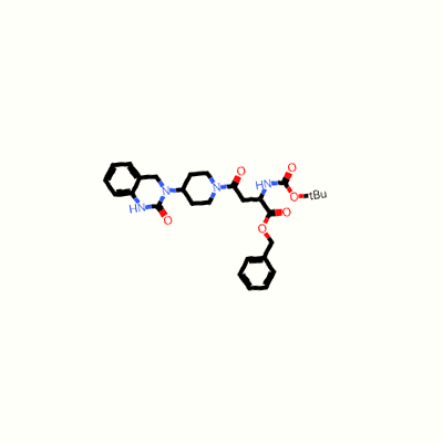 CC(C)(C)OC(=O)NC(CC(=O)N1CCC(N2Cc3ccccc3NC2=O)CC1)C(=O)OCc1ccccc1